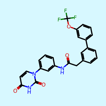 O=C(Cc1cccc(-c2cccc(OC(F)(F)F)c2)c1)Nc1cccc(-n2ccc(=O)[nH]c2=O)c1